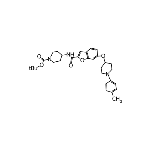 Cc1ccc(N2CCC(Oc3ccc4cc(C(=O)NC5CCN(C(=O)OC(C)(C)C)CC5)oc4c3)CC2)cc1